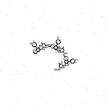 CNC1CC(C)NC(Nc2cc3c(c(C4=CCN[C@@H](C)CC4)c2F)OCC(CNC2CC(C)NC(Nc4cc5c(c(C6=CCN[C@H](C)CC6)c4F)OCC(CNC4CC(C)NC(Nc6cc7c(c(C8=CCN[C@@H](C)CC8)c6F)OCCC7)N4)O5)N2)O3)N1